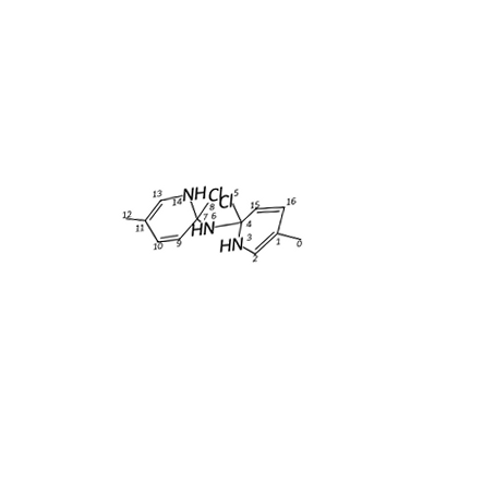 CC1=CNC(Cl)(NC2(Cl)C=CC(C)=CN2)C=C1